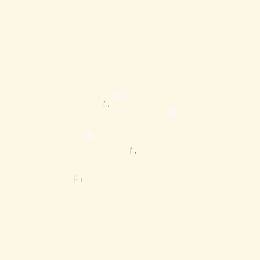 C\C=C/C=N\C(C#N)=C\CC